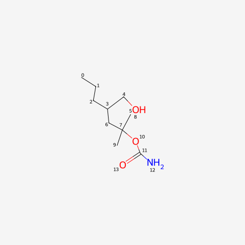 CCCC(CO)CC(C)(C)OC(N)=O